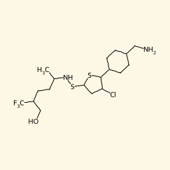 CC(CCC(CO)C(F)(F)F)NSC1CC(Cl)C(C2CCC(CN)CC2)S1